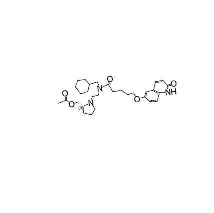 CC(=O)OC[C@H]1CCCN1CCN(CC1CCCCC1)C(=O)CCCCOc1ccc2[nH]c(=O)ccc2c1